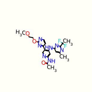 COCCOc1nccc(-c2cnc(NC(C)=O)cc2Nc2cc(C)nc(C(C)(F)F)n2)n1